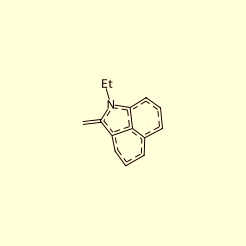 C=c1c2cccc3cccc(c32)n1CC